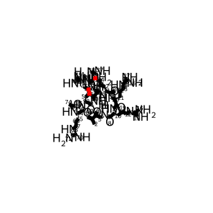 C=C(C)C(=O)CNC(=O)[C@H](CCCNC(=N)N)NC(=O)[C@H](CCCNC(=N)N)NC(=O)[C@H](CCCNC(=N)N)NC(=O)[C@H](CCCNC(=N)N)NC(=O)[C@H](CCCNC(=N)N)NC(=O)[C@H](CCCNC(=N)N)NC(C)=O